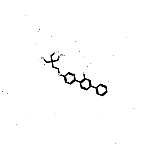 CCc1cc(-c2ccccc2)ccc1-c1ccc(OCCC(CO)(CO)COC)cc1